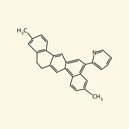 Cc1ccc2c(c1)CCc1cc3c(cc1-2)cc(-c1ccccn1)c1cc(C)ccc13